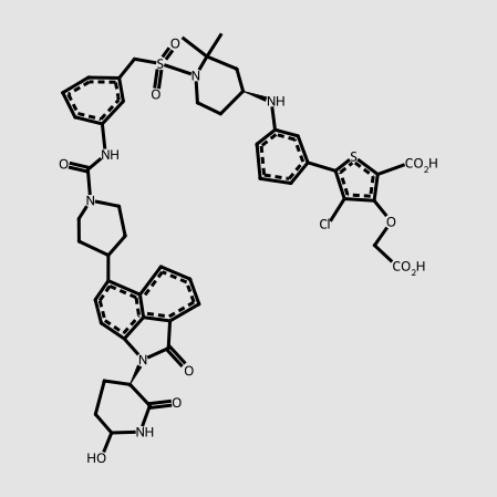 CC1(C)C[C@@H](Nc2cccc(-c3sc(C(=O)O)c(OCC(=O)O)c3Cl)c2)CCN1S(=O)(=O)Cc1cccc(NC(=O)N2CCC(c3ccc4c5c(cccc35)C(=O)N4[C@@H]3CCC(O)NC3=O)CC2)c1